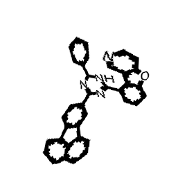 c1ccc(C2N=C(c3ccc4c(c3)-c3cccc5cccc-4c35)N=C(c3cccc4oc5ccncc5c34)N2)cc1